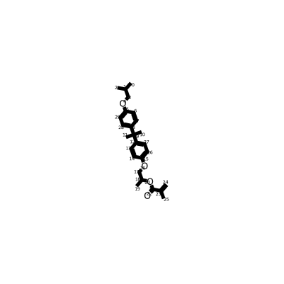 [CH2]C(C)COc1ccc(C(C)(C)c2ccc(OCC(C)OC(=O)C(=C)C)cc2)cc1